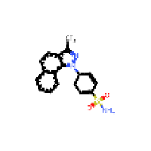 NS(=O)(=O)C1=CCC(n2nc(C(F)(F)F)c3ccc4ccccc4c32)C=C1